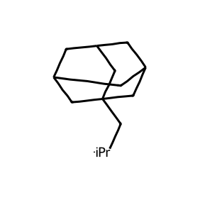 C[C](C)CC12CC3CC(CC(C3)C1)C2